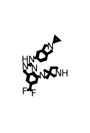 FC(F)c1cc(N2CC3(CCNC3)C2)c2nc(Nc3ccc4c(c3)CN(C3CC3)C4)ncc2c1